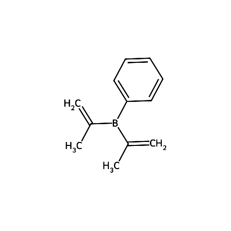 C=C(C)B(C(=C)C)c1ccccc1